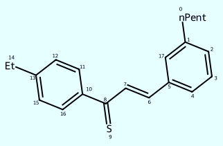 CCCCCc1cccc(C=CC(=S)c2ccc(CC)cc2)c1